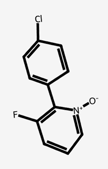 [O-][n+]1cccc(F)c1-c1ccc(Cl)cc1